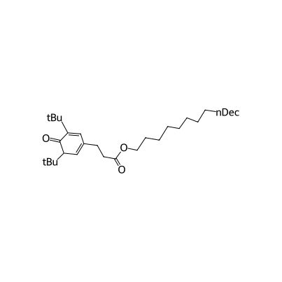 CCCCCCCCCCCCCCCCCCOC(=O)CCC1=CC(C(C)(C)C)C(=O)C(C(C)(C)C)=C1